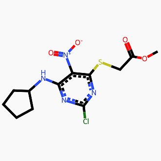 COC(=O)CSc1nc(Cl)nc(NC2CCCC2)c1[N+](=O)[O-]